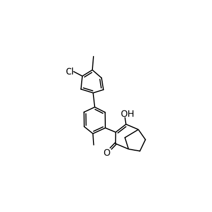 Cc1ccc(-c2ccc(C)c(C3=C(O)C4CCC(C4)C3=O)c2)cc1Cl